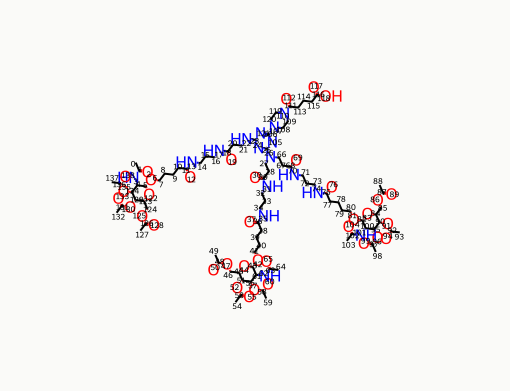 CC(=O)NC1C(OCCCCC(=O)NCCCNC(=O)CCNc2nc(N(CCC(=O)NCCCNC(=O)CCCCOC3OC(COC(C)=O)C(OC(C)=O)C(OC(C)=O)C3NC(C)=O)CCC(=O)NCCCNC(=O)CCCCOC3OC(COC(C)=O)C(OC(C)=O)C(OC(C)=O)C3NC(C)=O)nc(N3CCN(C(=O)CCCC(=O)O)CC3)n2)OC(COC(C)=O)C(OC(C)=O)C1OC(C)=O